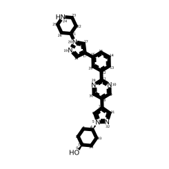 O[C@H]1CC[C@H](n2cc(-c3cnc(-c4cccc(-c5cnn(C6CCNCC6)c5)c4)nc3)cn2)CC1